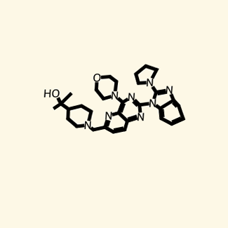 CC(C)(O)C1CCN(Cc2ccc3nc(-n4c(N5CCCC5)nc5ccccc54)nc(N4CCOCC4)c3n2)CC1